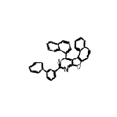 c1ccc(-c2cccc(-c3nc(-c4cccc5ccccc45)c4c(n3)oc3ccc5ccccc5c34)c2)cc1